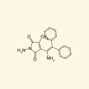 CC1=C(C(N)=C(c2ccccc2)c2ccccc2)C(=O)N(N)C1=O